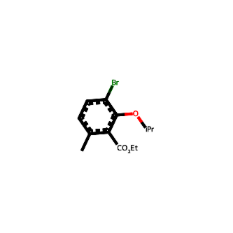 CCOC(=O)c1c(C)ccc(Br)c1OC(C)C